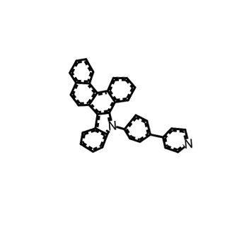 c1ccc2c(c1)ccc1c2c2ccccc2c2c1c1ccccc1n2-c1ccc(-c2ccncc2)cc1